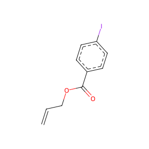 C=CCOC(=O)c1ccc(I)cc1